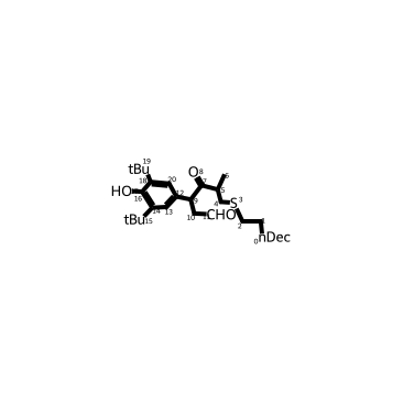 CCCCCCCCCCCCSCC(C)C(=O)C(CC=O)c1cc(C(C)(C)C)c(O)c(C(C)(C)C)c1